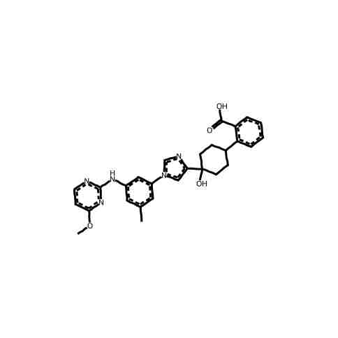 COc1ccnc(Nc2cc(C)cc(-n3cnc(C4(O)CCC(c5ccccc5C(=O)O)CC4)c3)c2)n1